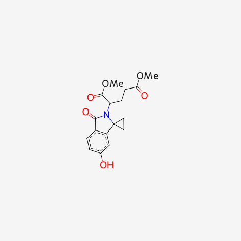 COC(=O)CCC(C(=O)OC)N1C(=O)c2ccc(O)cc2C12CC2